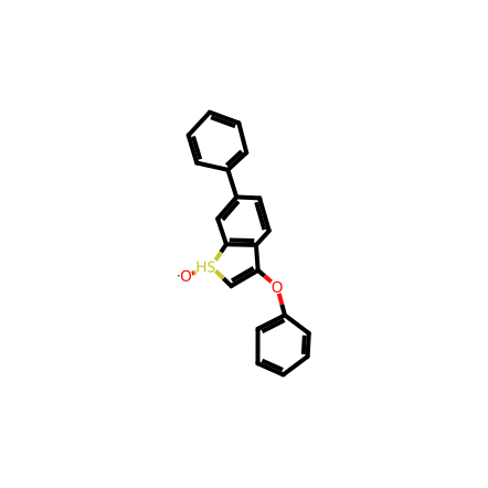 [O][SH]1C=C(Oc2ccccc2)c2ccc(-c3ccccc3)cc21